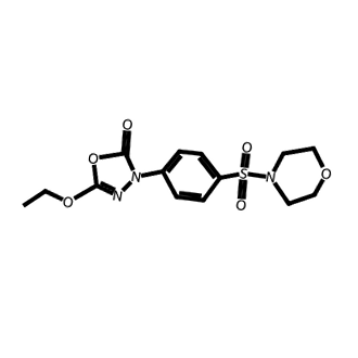 CCOc1nn(-c2ccc(S(=O)(=O)N3CCOCC3)cc2)c(=O)o1